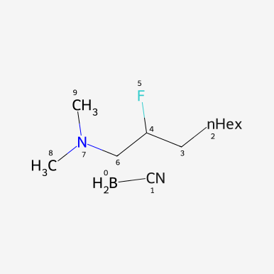 BC#N.CCCCCCCC(F)CN(C)C